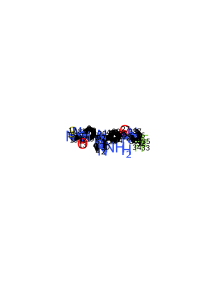 Nc1nccn2c([C@@H]3CCCN(C(=O)c4cnsn4)C3)nc(-c3ccc(C(=O)Nc4cc(C(F)(F)F)ccn4)cc3)c12